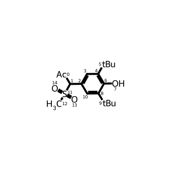 CC(=O)C(c1cc(C(C)(C)C)c(O)c(C(C)(C)C)c1)S(C)(=O)=O